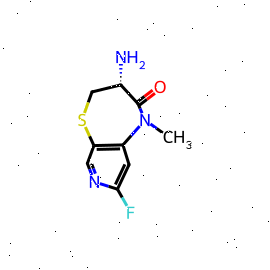 CN1C(=O)[C@@H](N)CSc2cnc(F)cc21